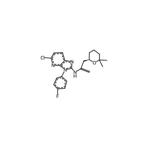 C=C(C[C@H]1CCCC(C)(C)O1)Nc1nc2ccc(Cl)nc2n1-c1ccc(F)cc1